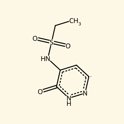 CCS(=O)(=O)Nc1c[c]n[nH]c1=O